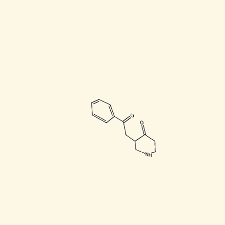 O=C(CC1CNCCC1=O)c1ccccc1